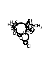 CCN(CCC(C)N1CCOCC1)CC1(O)CCC[C@H](C)[C@@H](C)S(=O)(=O)NC(=O)c2ccc3c(c2)N(CCCCc2cc(Cl)ccc2CO3)C[C@@H]2CC[C@H]21